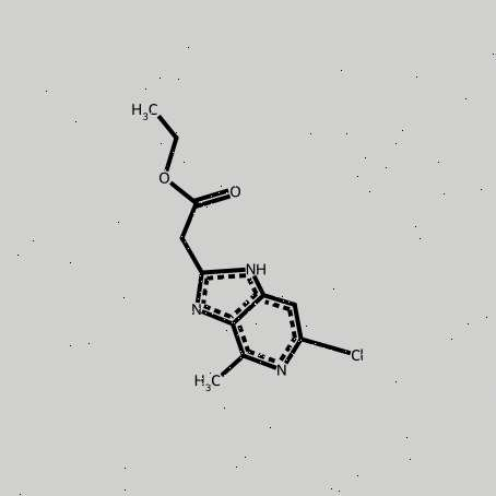 CCOC(=O)Cc1nc2c(C)nc(Cl)cc2[nH]1